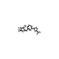 CN(C)C1CCN(c2nccc(/C=C3/SC(=O)NC3=O)n2)C1